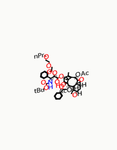 CCCOCCOCC(=O)O[C@@H](C(=O)O[C@H]1C[C@@]2(O)[C@@H](CC(=O)c3ccccc3)[C@@H]3[C@]4(OC(C)=O)CO[C@@H]4C[C@@H]4C[C@@]43C(=O)[C@H](OC(C)=O)C(=C1C)C2(C)C)[C@@H](NC(=O)OC(C)(C)C)c1ccccc1